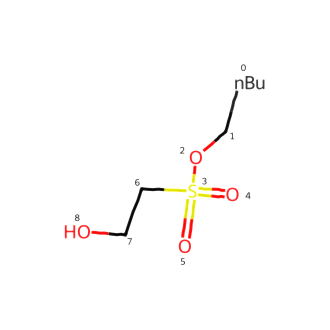 CCCCCOS(=O)(=O)CCO